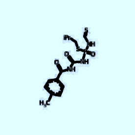 Cc1ccc(C(=O)NC(=O)NP(=O)(NC=S)SCC(C)C)cc1